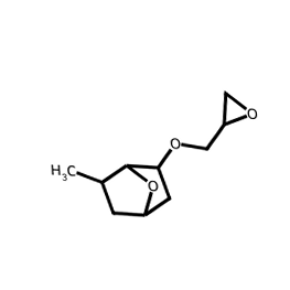 CC1CC2CC(OCC3CO3)C1O2